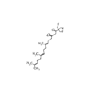 CC(C)=CCC/C(C)=C/CC/C(C)=C/CCC(=O)CC(=O)C(CF)(CF)CF